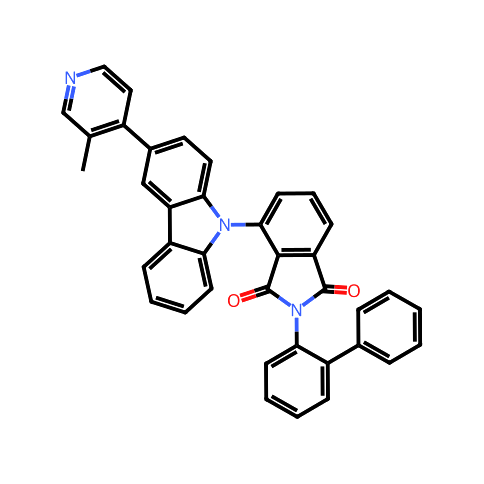 Cc1cnccc1-c1ccc2c(c1)c1ccccc1n2-c1cccc2c1C(=O)N(c1ccccc1-c1ccccc1)C2=O